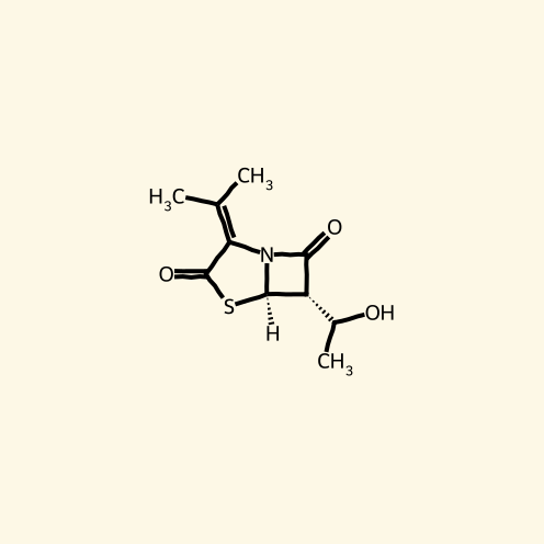 CC(C)=C1C(=O)S[C@@H]2[C@@H](C(C)O)C(=O)N12